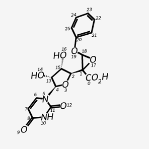 O=C(O)C1([C@H]2O[C@@H](n3ccc(=O)[nH]c3=O)[C@H](O)[C@@H]2O)OC1Oc1ccccc1